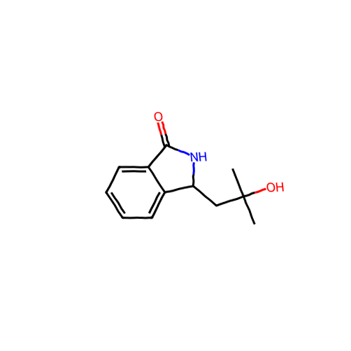 CC(C)(O)CC1NC(=O)c2ccccc21